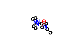 C1=C(c2nc(-c3cccc4ccccc34)nc(-c3cccc4ccccc34)n2)CC2Oc3cccc(N(c4ccccc4)c4ccc(-c5ccccc5)cc4)c3C2=C1